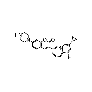 O=c1oc2cc(N3CCNCC3)ccc2cc1C1=CN2C=C(C3CC3)C=C(F)C2=CC=C1